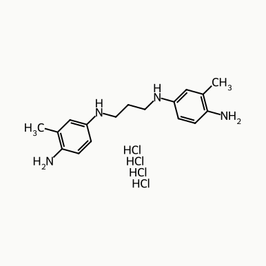 Cc1cc(NCCCNc2ccc(N)c(C)c2)ccc1N.Cl.Cl.Cl.Cl